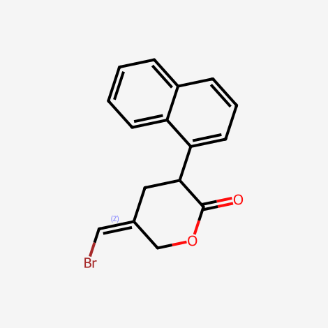 O=C1OC/C(=C\Br)CC1c1cccc2ccccc12